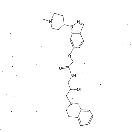 CN1CCC(n2ncc3ccc(OCC(=O)NCC(O)CN4CCc5ccccc5C4)cc32)CC1